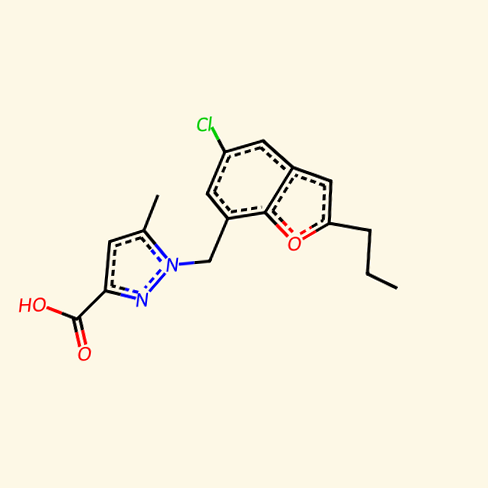 CCCc1cc2cc(Cl)cc(Cn3nc(C(=O)O)cc3C)c2o1